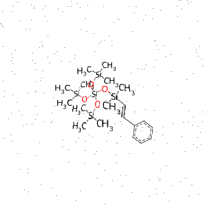 C[Si](C)(C)O[Si](O[Si](C)(C)C)(O[Si](C)(C)C)O[Si](C)(C)C=Cc1ccccc1